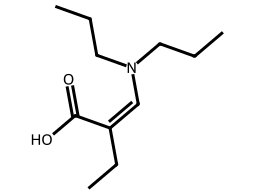 CCCN(C=C(CC)C(=O)O)CCC